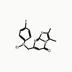 CCN(Cc1cc(=O)n2c(C)c(C)sc2n1)c1ccc(F)cc1